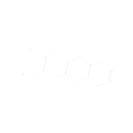 O=C(O)C1=Cc2cc3ccccc3cc2OC1C(F)(F)F